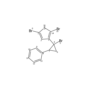 Brc1cc(C2(Br)CC2c2ccccc2)c(Br)s1